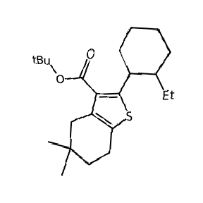 CCC1CCCCC1c1sc2c(c1C(=O)OC(C)(C)C)CC(C)(C)CC2